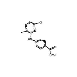 COC(=O)c1ccc(Nc2nc(Cl)ncc2C)cc1